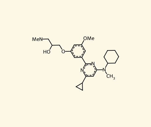 CNCC(O)COc1cc(OC)cc(-c2nc(C3CC3)cc(N(C)C3CCCCC3)n2)c1